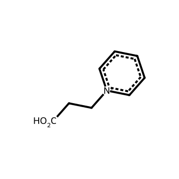 O=C(O)CC[n+]1ccccc1